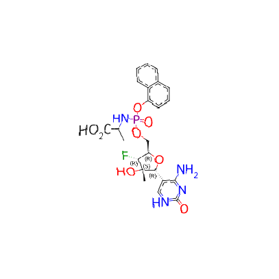 CC(NP(=O)(OC[C@H]1O[C@H](c2c[nH]c(=O)nc2N)[C@](C)(O)[C@@H]1F)Oc1cccc2ccccc12)C(=O)O